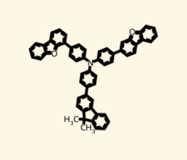 CC1(C)c2ccccc2-c2cc(-c3ccc(N(c4ccc(-c5ccc6c(c5)oc5ccccc56)cc4)c4ccc(-c5cccc6c5oc5ccccc56)cc4)cc3)ccc21